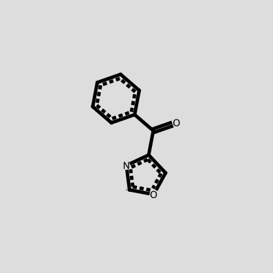 O=C(c1ccccc1)c1co[c]n1